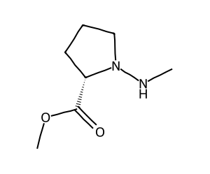 CNN1CCC[C@H]1C(=O)OC